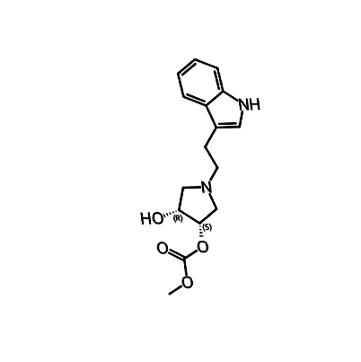 COC(=O)O[C@H]1CN(CCc2c[nH]c3ccccc23)C[C@H]1O